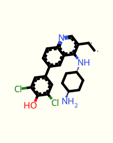 [CH2][CH]c1cnc2ccc(-c3cc(Cl)c(O)c(Cl)c3)cc2c1N[C@H]1CC[C@H](N)CC1